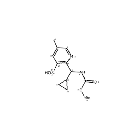 Cc1cnc(C(NC(=O)OC(C)(C)C)C2CC2)c(C(=O)O)c1